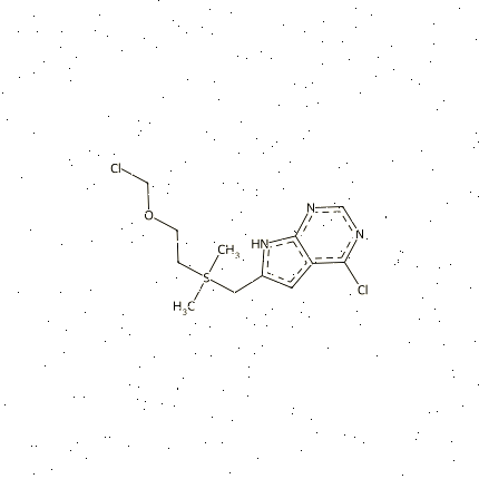 CS(C)(CCOCCl)Cc1cc2c(Cl)ncnc2[nH]1